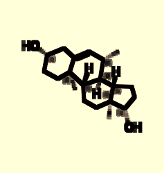 C[C@H]1C=C2C[C@@H](O)CC[C@]2(C)[C@H]2CC[C@]3(C)[C@@H](O)CC[C@H]3[C@H]12